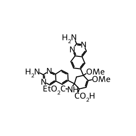 CCOC(=O)NC1(c2ccc3nc(N)ncc3c2)CC(OC)(c2ccc3nc(N)ncc3c2)C(OC)=CC1C(=O)O